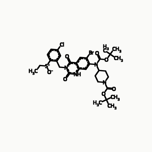 CC[S+]([O-])c1ccc(Cl)cc1Cn1c(=O)[nH]c2cc(N(C(=O)OC(C)(C)C)C3CCN(C(=O)OC(C)(C)C)CC3)c(Br)cc2c1=O